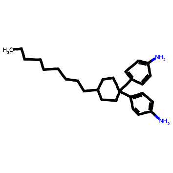 CCCCCCCCCC1CCC(c2ccc(N)cc2)(c2ccc(N)cc2)CC1